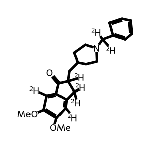 [2H]c1c(OC)c(OC)c([2H])c2c1C(=O)C([2H])(CC1CCN(C([2H])([2H])c3ccccc3)CC1)C2([2H])[2H]